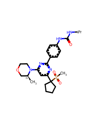 CC(C)NC(=O)Nc1ccc(-c2nc(N3CCOC[C@@H]3C)cc(C3(S(C)(=O)=O)CCCC3)n2)cc1